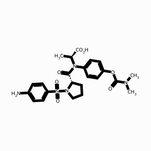 C[C@@H](C(=O)O)N(C(=O)[C@@H]1CCCN1S(=O)(=O)c1ccc(N)cc1)c1ccc(OC(=O)N(C)C)cc1